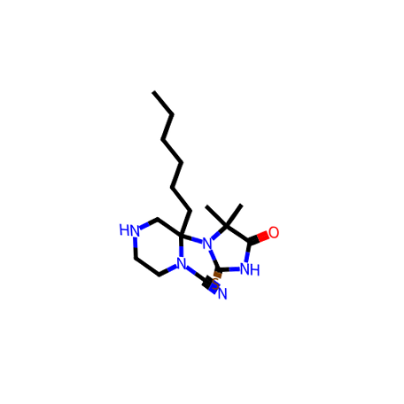 CCCCCCC1(N2C(=S)NC(=O)C2(C)C)CNCCN1C#N